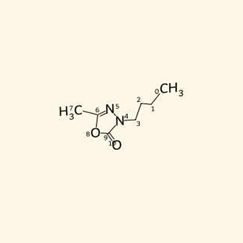 CCCCn1nc(C)oc1=O